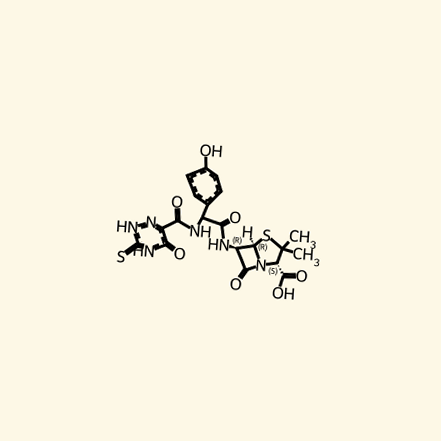 CC1(C)S[C@@H]2[C@H](NC(=O)C(NC(=O)c3n[nH]c(=S)[nH]c3=O)c3ccc(O)cc3)C(=O)N2[C@H]1C(=O)O